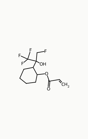 C=CC(=O)OC1CCCCC1C(O)(CF)C(F)(F)F